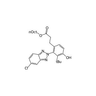 CCCCCCCCOC(=O)CCc1ccc(O)c(C(C)(C)C)c1-n1nc2ccc(Cl)cc2n1